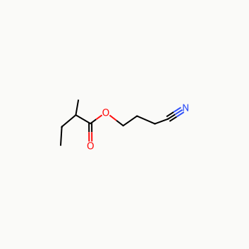 CCC(C)C(=O)OCCCC#N